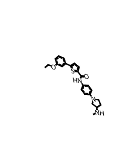 CCOc1cccc(-c2ccc(C(=O)Nc3ccc(N4CCC(NC)C4)cc3)s2)c1